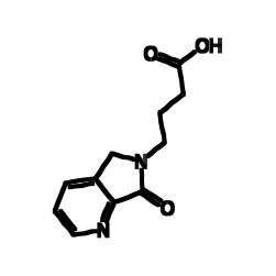 O=C(O)CCCN1Cc2cccnc2C1=O